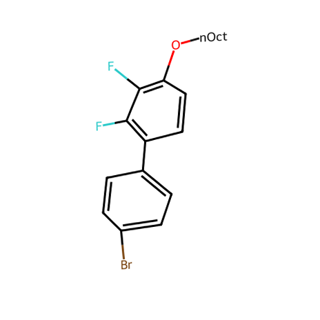 CCCCCCCCOc1ccc(-c2ccc(Br)cc2)c(F)c1F